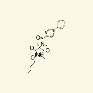 CCCCONC(=O)C(C)(C(=O)NC)N(C)C(=O)c1ccc(-c2ccccc2)cc1